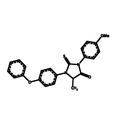 COc1ccc(N2C(=O)C(C)N(c3ccc(Oc4ccccc4)cc3)C2=S)cc1